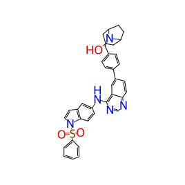 O=S(=O)(c1ccccc1)n1ccc2cc(Nc3ncnc4ccc(-c5ccc(CN6C7CCC6CC(O)C7)cc5)cc34)ccc21